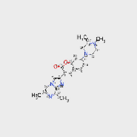 Cc1cn2cc(-c3cc4ccc(N5CCN(C)[C@H](C)C5)cc4oc3=O)nc2c(C)n1